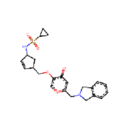 O=c1cc(CN2Cc3ccccc3C2)occ1OCC1C=CC(NS(=O)(=O)C2CC2)C1